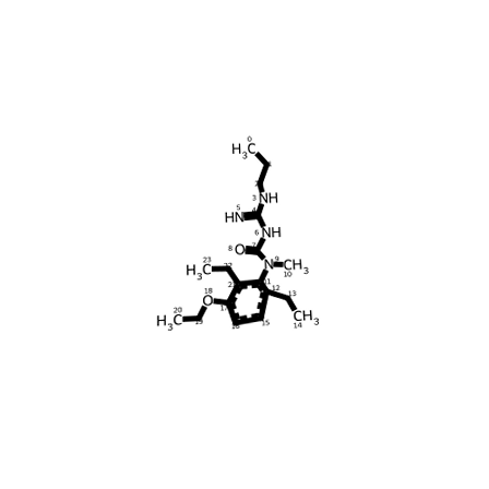 CCCNC(=N)NC(=O)N(C)c1c(CC)ccc(OCC)c1CC